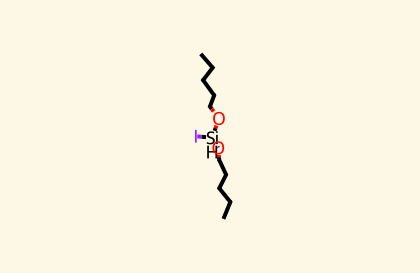 CCCCCO[SiH](I)OCCCCC